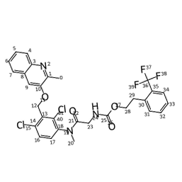 Cc1nc2ccccc2cc1OCc1c(Cl)ccc(N(C)C(=O)CNC(=O)OCCc2ccccc2C(F)(F)F)c1Cl